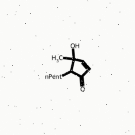 CCCCCC1C(=O)C=CC1(C)O